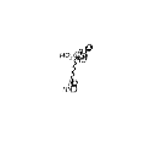 O=C(N[C@@H](CCCCCCCc1ccc2c(n1)NCCC2)C(=O)O)C(CO)c1ccccc1